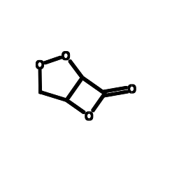 O=C1OC2COOC12